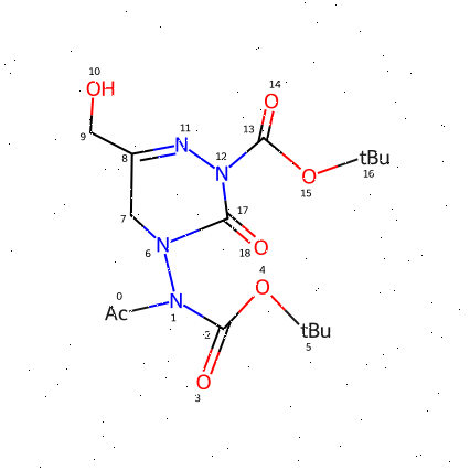 CC(=O)N(C(=O)OC(C)(C)C)N1CC(CO)=NN(C(=O)OC(C)(C)C)C1=O